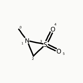 CN1CS1(=O)=O